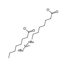 CCCCCCCC(=O)[O-].CCCCCCCC(=O)[O-].CCC[CH2][Sn+2][CH2]CCC